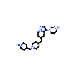 C1=CN(c2cnn3ccc(CC4CCN(CC5CCNCC5)CC4)cc23)CNC1